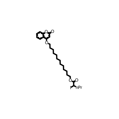 CCCC(I)C(=O)OCCCCCCCCCCCCCOc1cc(=O)oc2ccccc12